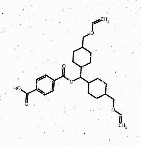 C=COCC1CCC(C(OC(=O)c2ccc(C(=O)O)cc2)C2CCC(COC=C)CC2)CC1